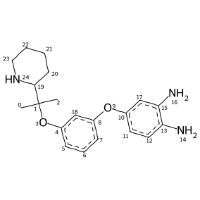 CC(C)(Oc1cccc(Oc2ccc(N)c(N)c2)c1)C1CCCCN1